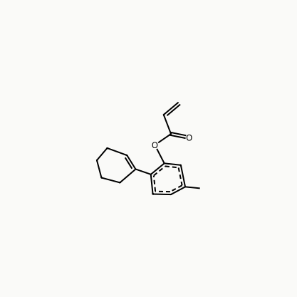 C=CC(=O)Oc1cc(C)ccc1C1=CCCCC1